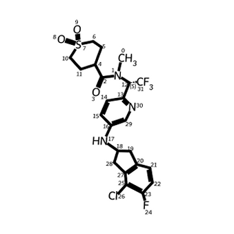 CN(C(=O)C1CCS(=O)(=O)CC1)[C@@H](c1ccc(NC2Cc3ccc(F)c(Cl)c3C2)cn1)C(F)(F)F